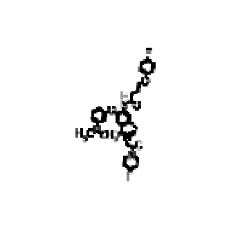 CN(C)c1cccc(Oc2cc3c(=O)n(CC(=O)N4CCC(F)CC4)cnc3cc2NC(=O)CCCOc2ccc(F)cc2)c1